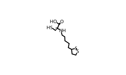 O=C(O)[C@H](CS)NCCCCCC1CCSS1